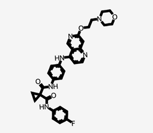 O=C(Nc1ccc(F)cc1)C1(C(=O)Nc2ccc(Nc3ccnc4cc(OCCN5CCOCC5)ncc34)cc2)CC1